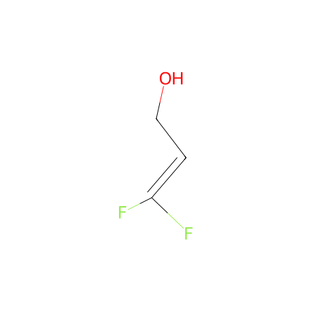 OCC=C(F)F